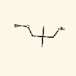 CCCCCC(C)(C)COCC